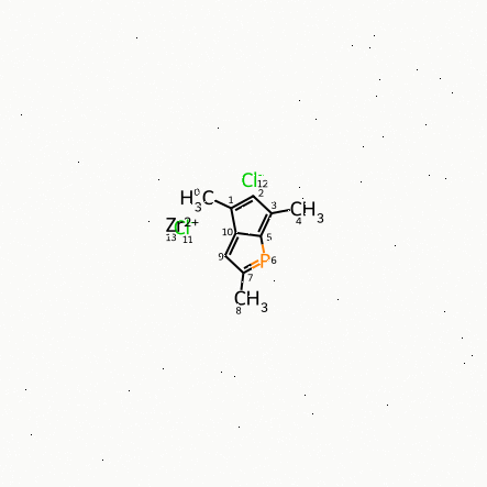 CC1=CC(C)=C2P=C(C)C=C12.[Cl-].[Cl-].[Zr+2]